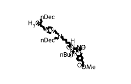 CCCCCCCCCCCCN(C)CCCN1CCN(CCCN(CCCCCCCCCCCC)CCCCCC(=O)Nc2nc(OCCCC)nc3c2[nH]c(=O)n3Cc2cccc(CC(=O)OC)c2)CC1